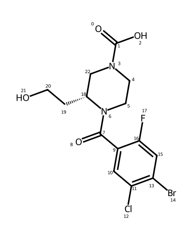 O=C(O)N1CCN(C(=O)c2cc(Cl)c(Br)cc2F)[C@H](CCO)C1